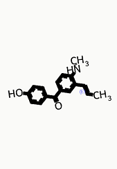 C/C=C/c1cc(C(=O)c2ccc(O)cc2)ccc1NC